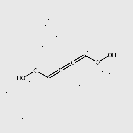 OOC=C=C=COO